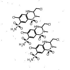 CN1C(CCl)Nc2cc(Cl)c(S(N)(=O)=O)cc2S1(=O)=O.CN1C(CCl)Nc2cc(Cl)c(S(N)(=O)=O)cc2S1(=O)=O.CN1C(CCl)Nc2cc(Cl)c(S(N)(=O)=O)cc2S1(=O)=O